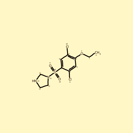 CCOc1cc(Cl)c(S(=O)(=O)N2CCNC2)cc1Cl